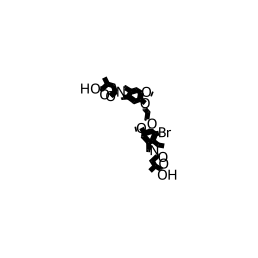 COc1cc2c(cc1OCCCOc1c(OC)cc3c(c1Br)C(C)N(C(=O)CC(C)C(=O)O)C3)CN(C(=O)CC(C)C(=O)O)C2